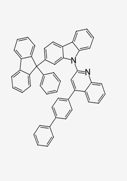 c1ccc(-c2ccc(-c3cc(-n4c5ccccc5c5ccc(C6(c7ccccc7)c7ccccc7-c7ccccc76)cc54)nc4ccccc34)cc2)cc1